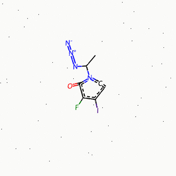 CC(N=[N+]=[N-])n1ccc(I)c(F)c1=O